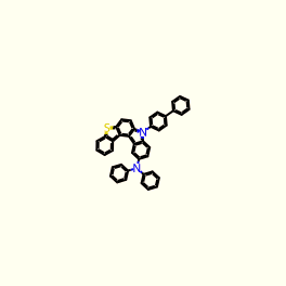 c1ccc(-c2ccc(-n3c4ccc(N(c5ccccc5)c5ccccc5)cc4c4c5c(ccc43)sc3ccccc35)cc2)cc1